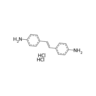 Cl.Cl.Nc1ccc(/C=C/c2ccc(N)cc2)cc1